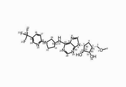 COC[C@H]1C[C@@H](n2cnc3c(N[C@H]4CCN(c5ccc(C(F)(F)F)cn5)C4)ncnc32)[C@H](O)[C@@H]1O